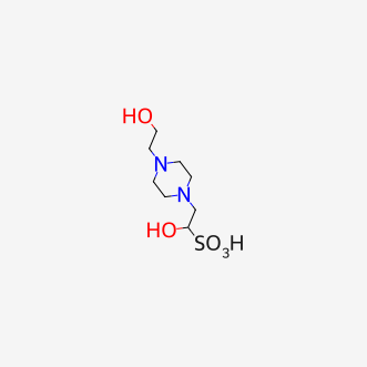 O=S(=O)(O)C(O)CN1CCN(CCO)CC1